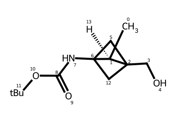 C[C@H]1C2(CO)CC1(NC(=O)OC(C)(C)C)C2